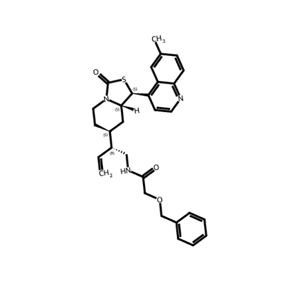 C=C[C@@H](CNC(=O)COCc1ccccc1)[C@H]1CCN2C(=O)S[C@@H](c3ccnc4ccc(C)cc34)[C@@H]2C1